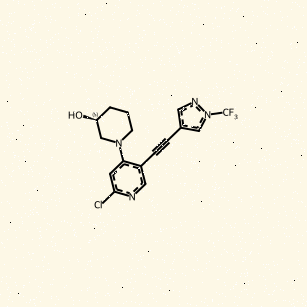 O[C@H]1CCCN(c2cc(Cl)ncc2C#Cc2cnn(C(F)(F)F)c2)C1